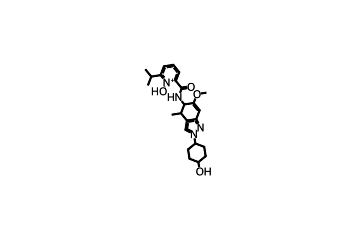 COC1=Cc2nn(C3CCC(O)CC3)cc2C(C)C1NC(=O)c1cccc(C(C)C)[n+]1O